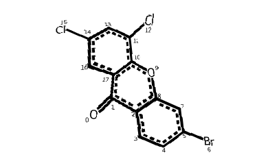 O=c1c2ccc(Br)cc2oc2c(Cl)cc(Cl)cc12